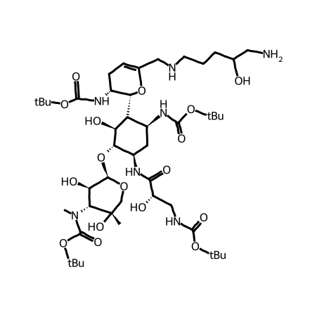 CN(C(=O)OC(C)(C)C)[C@@H]1[C@@H](O)[C@@H](O[C@H]2[C@H](NC(=O)[C@@H](O)CNC(=O)OC(C)(C)C)C[C@H](NC(=O)OC(C)(C)C)C([C@H]3OC(CNCCCC(O)CN)=CC[C@H]3NC(=O)OC(C)(C)C)[C@@H]2O)OC[C@]1(C)O